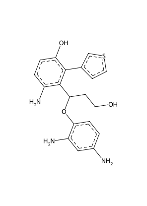 Nc1ccc(OC(CCO)c2c(N)ccc(O)c2-c2ccsc2)c(N)c1